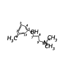 Cc1cccc(BCCCN(C)C)c1